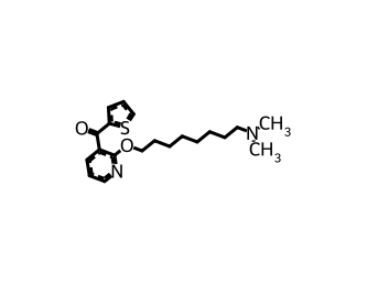 CN(C)CCCCCCCCOc1ncccc1C(=O)c1cccs1